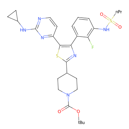 CCCS(=O)(=O)Nc1cccc(-c2nc(C3CCN(C(=O)OC(C)(C)C)CC3)sc2-c2ccnc(NC3CC3)n2)c1F